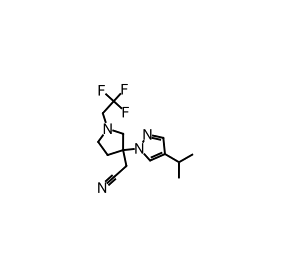 CC(C)c1cnn(C2(CC#N)CCN(CC(F)(F)F)C2)c1